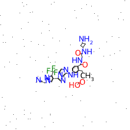 CCc1cc(Nc2nccn3c(-c4cn(CC#N)nc4C(F)(F)F)cnc23)ccc1C(=O)NCC(=O)NC1CC(N)C1.O=CO